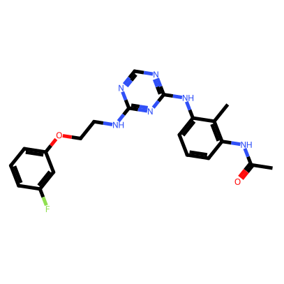 CC(=O)Nc1cccc(Nc2ncnc(NCCOc3cccc(F)c3)n2)c1C